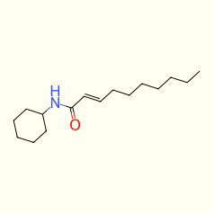 CCCCCCC/C=C/C(=O)NC1CCCCC1